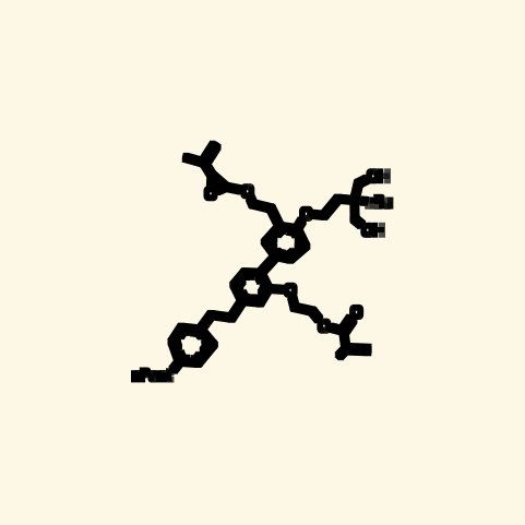 C=C(C)C(=O)OCCOc1cc(CCc2ccc(CCCCC)cc2)ccc1-c1ccc(OCCC(CO)(CO)CCCC)c(CCOC2OC2C(=C)C)c1